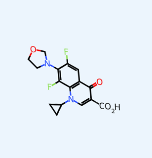 O=C(O)c1cn(C2CC2)c2c(F)c(N3CCOC3)c(F)cc2c1=O